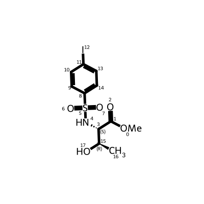 COC(=O)[C@@H](NS(=O)(=O)c1ccc(I)cc1)[C@@H](C)O